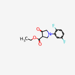 CCOC(=O)C1CN(c2cc(F)ccc2F)CC1=O